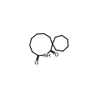 O=C1CCCCCCC2(CCCCCC2)C(=O)N1